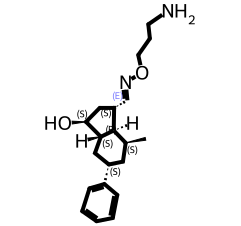 C[C@H]1C[C@H](c2ccccc2)C[C@H]2[C@H]1[C@@H](/C=N/OCCCN)C[C@@H]2O